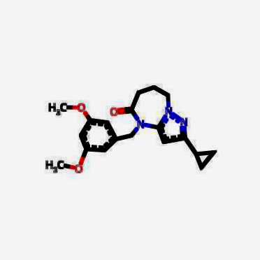 COc1cc(CN2C(=O)CCCn3nc(C4CC4)cc32)cc(OC)c1